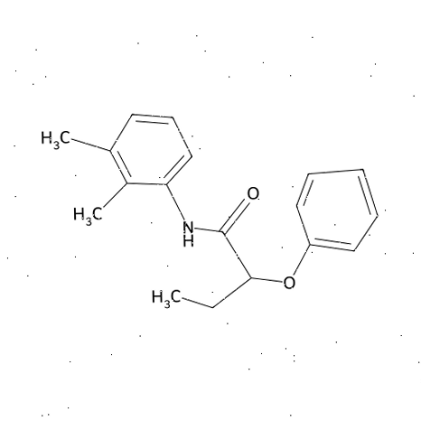 CCC(Oc1ccccc1)C(=O)Nc1cccc(C)c1C